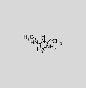 CCNC(CC)NC(N)CC